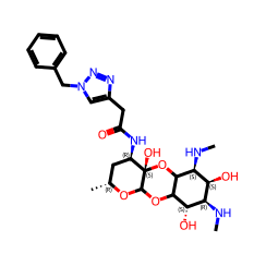 CN[C@@H]1[C@H](O)[C@H](NC)C2O[C@]3(O)C(OC2[C@H]1O)O[C@H](C)C[C@H]3NC(=O)Cc1cn(Cc2ccccc2)nn1